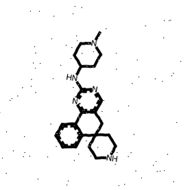 CN1CCC(Nc2ncc3c(n2)-c2ccccc2C2(CCNCC2)C3)CC1